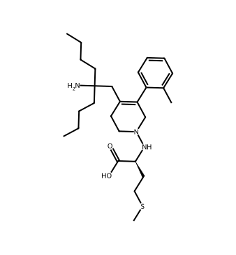 CCCCC(N)(CCCC)CC1=C(c2ccccc2C)CN(N[C@@H](CCSC)C(=O)O)CC1